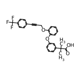 CC(C)(C(=O)O)c1cccc(Oc2ccccc2OCC#Cc2ccc(C(F)(F)F)cc2)c1